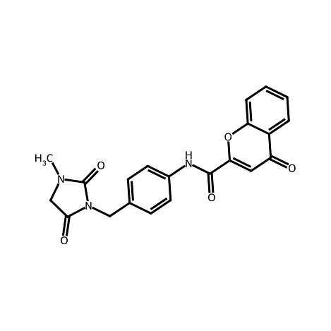 CN1CC(=O)N(Cc2ccc(NC(=O)c3cc(=O)c4ccccc4o3)cc2)C1=O